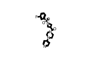 O=C(C1CN(S(=O)(=O)c2cccc(F)c2)C1)N1CCN(c2ccncc2)CC1